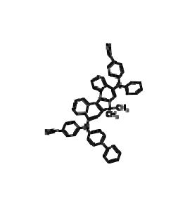 CC1(C)c2cc(N(c3ccccc3)c3ccc(C#N)cc3)c3ccccc3c2-c2c1cc(N(c1ccc(C#N)cc1)c1ccc(-c3ccccc3)cc1)c1ccccc21